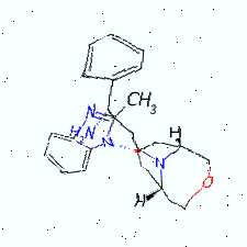 Cc1nc2ccccc2n1[C@H]1C[C@H]2COC[C@@H](C1)N2CC[C@H](N)c1ccccc1